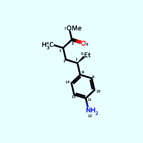 CC[C@H](CC(C)C(=O)OC)c1ccc(N)cc1